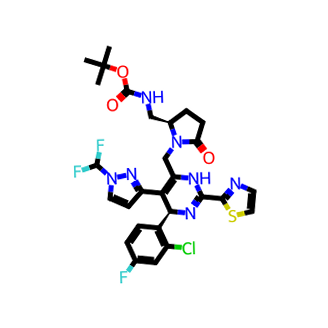 CC(C)(C)OC(=O)NC[C@H]1CCC(=O)N1CC1=C(c2ccn(C(F)F)n2)[C@H](c2ccc(F)cc2Cl)N=C(c2nccs2)N1